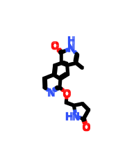 Cc1c[nH]c(=O)c2cc3ccnc(OCC4CCC(=O)N4)c3cc12